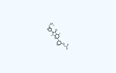 Cc1cc(-c2cncc(OCC(F)F)c2)nc2c1C(=O)N(c1cnn(CC(F)(F)F)c1)C2C